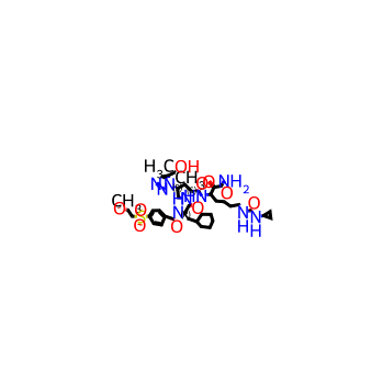 COCCS(=O)(=O)c1ccc(C(=O)N[C@H](CC2CCCCC2)C(=O)N2C[C@@H](n3nncc3C(C)(C)O)C[C@H]2C(=O)NC(CCCCNC(=O)NC2CC2)C(=O)C(N)=O)cc1